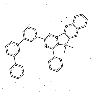 C[Si]1(C)c2cc3ccccc3cc2-c2nc(-c3cccc(-c4cccc(-c5ccccc5)c4)c3)nc(-c3ccccc3)c21